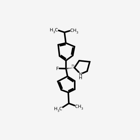 CC(C)c1ccc(C(F)(c2ccc(C(C)C)cc2)[C@@H]2CCCN2)cc1